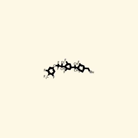 CCC(C)Cc1ccc(C(C)(C)c2cc(F)c(C(C)(CC)C(F)(F)Oc3cc(F)c(C(F)(F)F)c(F)c3)c(F)c2)c(F)c1